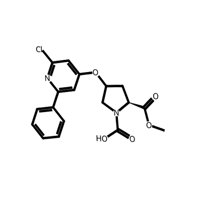 COC(=O)[C@@H]1CC(Oc2cc(Cl)nc(-c3ccccc3)c2)CN1C(=O)O